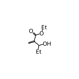 C=C(C(=O)OCC)C(O)CC